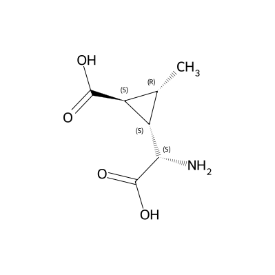 C[C@H]1[C@H](C(=O)O)[C@H]1[C@H](N)C(=O)O